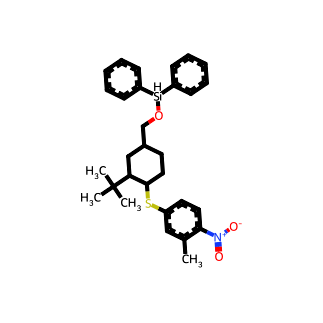 Cc1cc(SC2CCC(CO[SiH](c3ccccc3)c3ccccc3)CC2C(C)(C)C)ccc1[N+](=O)[O-]